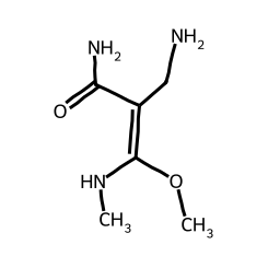 CN/C(OC)=C(/CN)C(N)=O